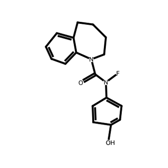 O=C(N(F)c1ccc(O)cc1)N1CCCCc2ccccc21